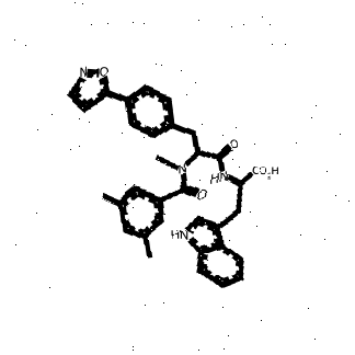 Cc1cc(C)cc(C(=O)N(C)C(Cc2ccc(-c3ccno3)cc2)C(=O)NC(Cc2c[nH]c3ccccc23)C(=O)O)c1